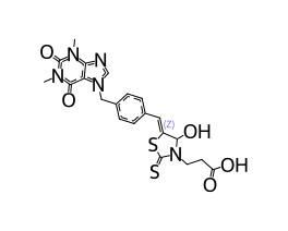 Cn1c(=O)c2c(ncn2Cc2ccc(/C=C3\SC(=S)N(CCC(=O)O)C3O)cc2)n(C)c1=O